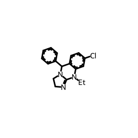 CCN1C2=NCCN2C(c2ccccc2)c2ccc(Cl)cc21